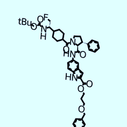 CC(C)(C)OC(=O)N[C@H](CF)C1CCC(C(=O)N2CC[C@H](c3ccccc3)[C@H]2C(=O)Nc2ccc3[nH]c(C(=O)OCCCOCc4ccccc4)cc3c2)CC1